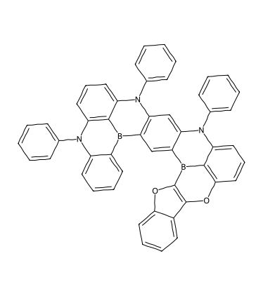 c1ccc(N2c3cc4c(cc3B3c5oc6ccccc6c5Oc5cccc2c53)B2c3ccccc3N(c3ccccc3)c3cccc(c32)N4c2ccccc2)cc1